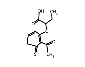 CCC(OC1=C(C(C)=O)C(=S)CC=C1)C(=O)O